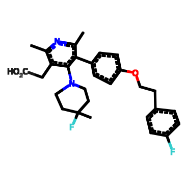 Cc1nc(C)c(-c2ccc(OCCc3ccc(F)cc3)cc2)c(N2CCC(C)(F)CC2)c1CC(=O)O